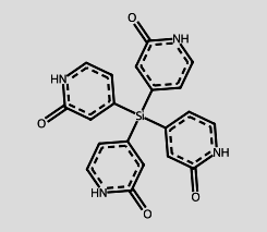 O=c1cc([Si](c2cc[nH]c(=O)c2)(c2cc[nH]c(=O)c2)c2cc[nH]c(=O)c2)cc[nH]1